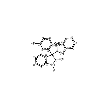 CN1C(=O)C(c2nc3ccccc3[nH]2)(c2cc(F)ccc2O)c2ccccc21